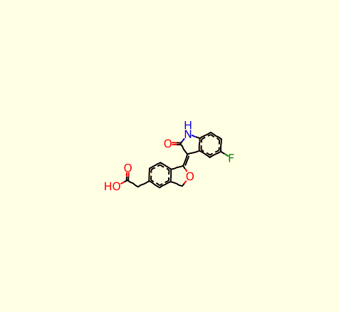 O=C(O)Cc1ccc2c(c1)COC2=C1C(=O)Nc2ccc(F)cc21